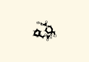 CC(C)(C)OC(=O)N1CCC(CCl)(NC(=O)OCc2ccccc2)CC1